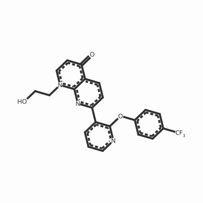 O=c1ccn(CCO)c2nc(-c3cccnc3Oc3ccc(C(F)(F)F)cc3)ccc12